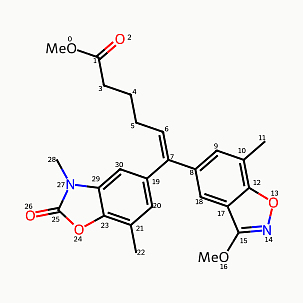 COC(=O)CCCC=C(c1cc(C)c2onc(OC)c2c1)c1cc(C)c2oc(=O)n(C)c2c1